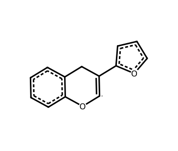 [C]1=C(c2ccco2)Cc2ccccc2O1